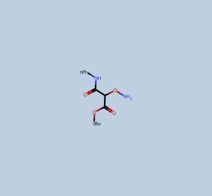 [CH2]CCNC(=O)C(ON)C(=O)OC(C)(C)C